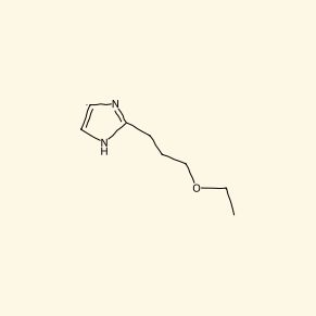 CCOCCCc1n[c]c[nH]1